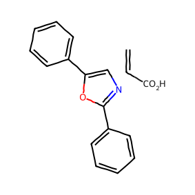 C=CC(=O)O.c1ccc(-c2cnc(-c3ccccc3)o2)cc1